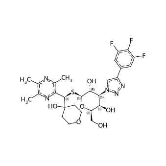 Cc1nc(C)c([C@@H](S[C@@H]2O[C@H](CO)[C@H](O)[C@H](n3cc(-c4cc(F)c(F)c(F)c4)nn3)[C@H]2O)C2(O)CCOCC2)nc1C